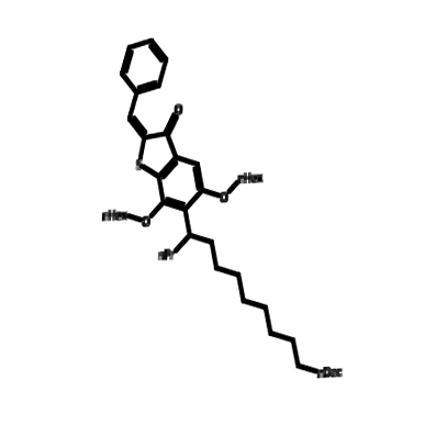 CCCCCCCCCCCCCCCCCCC(CCC)c1c(OCCCCCC)cc2c(c1OCCCCCC)SC(=Cc1ccccc1)C2=O